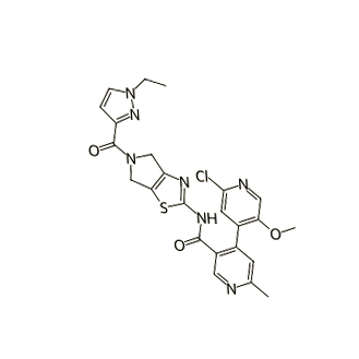 CCn1ccc(C(=O)N2Cc3nc(NC(=O)c4cnc(C)cc4-c4cc(Cl)ncc4OC)sc3C2)n1